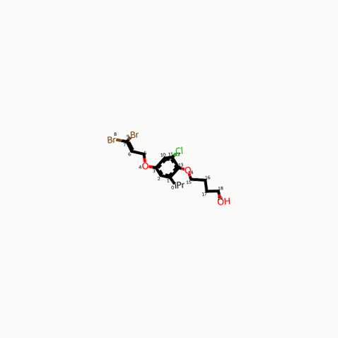 CC(C)c1cc(OCC=C(Br)Br)cc(Cl)c1OCCCCO